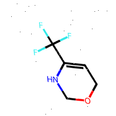 FC(F)(F)C1=CCOCN1